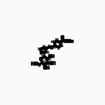 COC(=O)c1ccc(OCc2cccc([C@H]3O[C@H](CO)[C@@H](O)[C@H](O)[C@@H]3O)c2)cc1